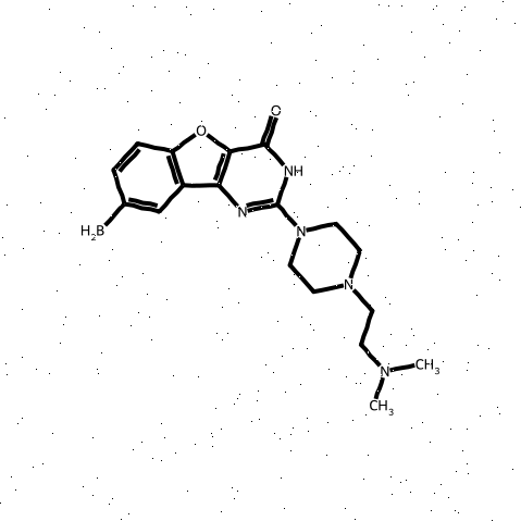 Bc1ccc2oc3c(=O)[nH]c(N4CCN(CCN(C)C)CC4)nc3c2c1